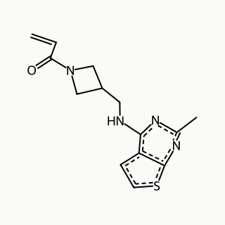 C=CC(=O)N1CC(CNc2nc(C)nc3sccc23)C1